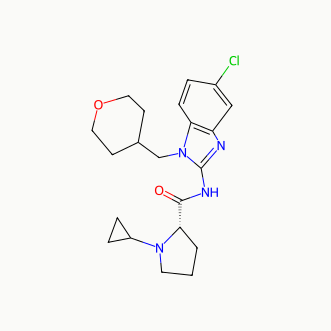 O=C(Nc1nc2cc(Cl)ccc2n1CC1CCOCC1)[C@@H]1CCCN1C1CC1